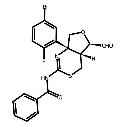 O=C[C@@H]1OC[C@@]2(c3cc(Br)ccc3F)N=C(NC(=O)c3ccccc3)SC[C@@H]12